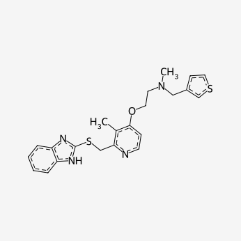 Cc1c(OCCN(C)Cc2ccsc2)ccnc1CSc1nc2ccccc2[nH]1